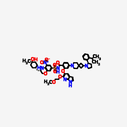 COCCOc1nc2[nH]ccc2cc1Oc1cc(N2CCC3(CC2)CC(N2CCC[C@@H]2c2ccccc2C(C)C)C3)ccc1C(=O)NS(=O)(=O)c1cc2c(c([N+](=O)[O-])c1)N[C@@H](C[C@H]1CC[C@](C)(O)CC1)CO2